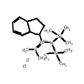 C[Si](C)=[Hf+2]([CH]1CCC2C=CC=CC21)[N]([Si](C)(C)C)[Si](C)(C)C.[Cl-].[Cl-]